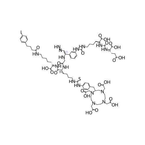 N=N/C=C(\NCC(=O)N[C@@H](CCCCNC(=S)Nc1ccc(CC2CN(CC(=O)O)CCN(CC(=O)O)CCN(CC(=O)O)CCN2CC(=O)O)cc1)C(=O)N[C@@H](CCCCCNC(=O)CCCc1ccc(I)cc1)C(=O)O)c1cccc(NC(=O)NCCCC[C@H](NC(=O)N[C@@H](CCC(=O)O)C(=O)O)C(=O)O)c1